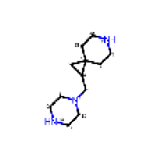 C1CN(CC2CC23CCNCC3)CCN1